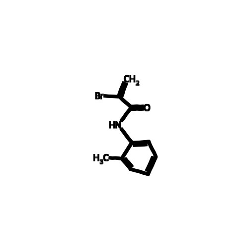 C=C(Br)C(=O)Nc1ccccc1C